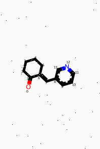 O=C1CCCC/C1=C\c1cccnc1